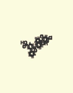 O=C(O)N1CCN(C(=O)N2CC[C@@](O)(Cn3cnc(Cl)cc3=O)C3(CCCC3)C2)[C@H](c2ccccc2)C1